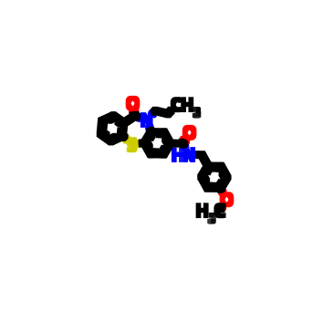 CCCN1C(=O)c2ccccc2Sc2ccc(C(=O)NCc3ccc(OC)cc3)cc21